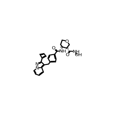 O=C(N[C@@H]1CCOC[C@@H]1C(=O)NO)c1ccc(Cc2c(C3=CC=C3)nn3ccccc23)cc1